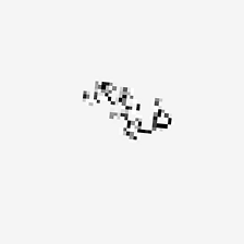 CCN(C[C@@H](O)C(F)(F)F)C(=O)Nc1nnc(Cc2cccc(F)c2)s1